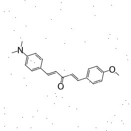 COc1ccc(/C=C/C(=O)/C=C/c2ccc(N(C)C)cc2)cc1